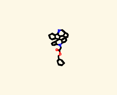 O=C(CN1c2ccccc2C2(c3ccccc3-c3ncc4ccccc4c32)c2ccccc21)OCc1ccccc1